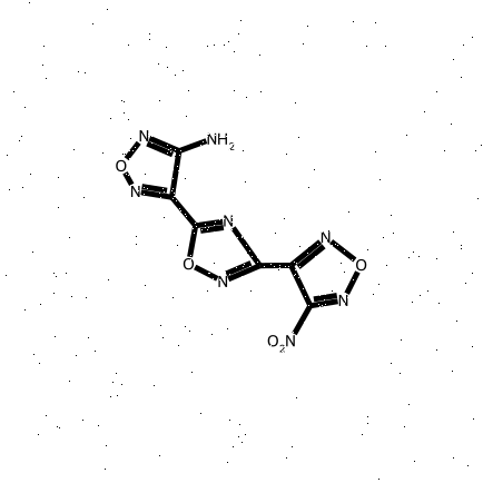 Nc1nonc1-c1nc(-c2nonc2[N+](=O)[O-])no1